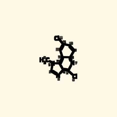 Cn1cnc2c(Cl)nc3ccc(Cl)cc3c21